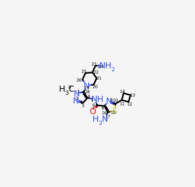 Cn1ncc(NC(=O)c2nc(C3CCC3)sc2N)c1N1CCC(CN)CC1